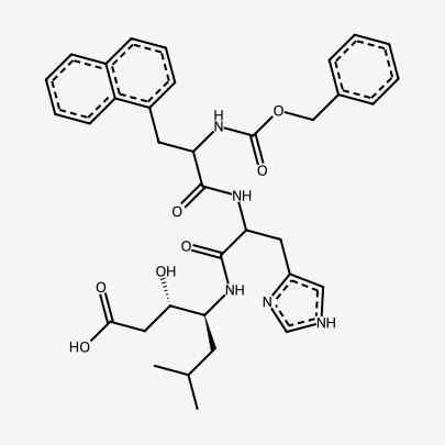 CC(C)C[C@H](NC(=O)C(Cc1c[nH]cn1)NC(=O)C(Cc1cccc2ccccc12)NC(=O)OCc1ccccc1)[C@@H](O)CC(=O)O